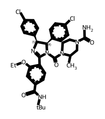 CCOc1cc(C(=O)NC(C)(C)C)ccc1C1=N[C@@H](c2ccc(Cl)cc2)[C@@H](c2ccc(Cl)cc2)N1C(=O)N1CCN(C(N)=O)CC1C